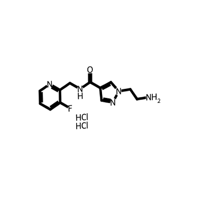 Cl.Cl.NCCn1cc(C(=O)NCc2ncccc2F)cn1